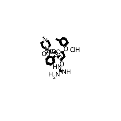 Cc1cccc(OC(CCONC(=N)N)OS(=O)(=O)c2ccccc2S(=O)(=O)N2CCN(C)CC2)c1.Cl